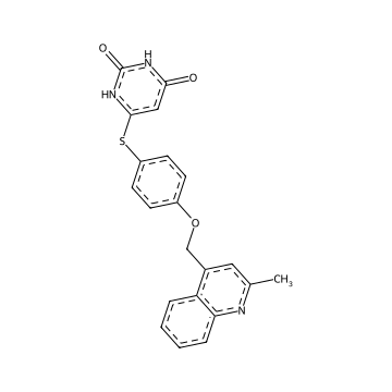 Cc1cc(COc2ccc(Sc3cc(=O)[nH]c(=O)[nH]3)cc2)c2ccccc2n1